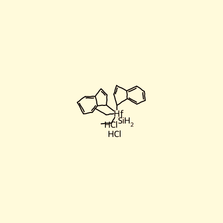 C[CH2][Hf](=[SiH2])([CH2]C)([CH]1C=Cc2ccccc21)[CH]1C=Cc2ccccc21.Cl.Cl